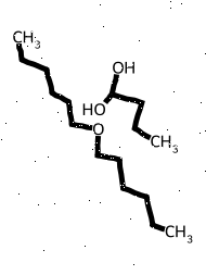 CCCC(O)O.CCCCCCOCCCCCC